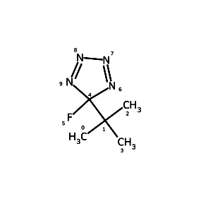 CC(C)(C)C1(F)N=NN=N1